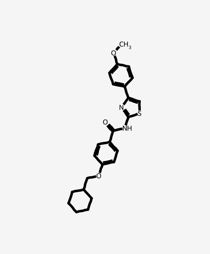 COc1ccc(-c2csc(NC(=O)c3ccc(OCC4CCCCC4)cc3)n2)cc1